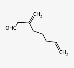 C=CCCCC(=C)CC=O